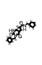 O=C(NCc1ccccc1)c1cc2c(=O)n(Cc3ccccc3)c(=O)[nH]c2s1